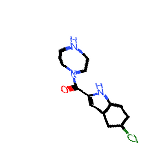 O=C(C1=CC2CC(Cl)CCC2N1)N1CCNCC1